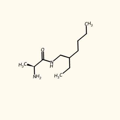 CCCCC(CC)CNC(=O)[C@H](C)N